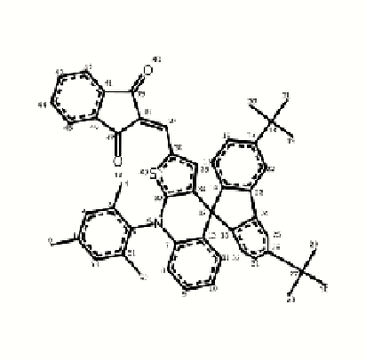 Cc1cc(C)c(N2c3ccccc3C3(c4ccc(C(C)(C)C)cc4-c4cc(C(C)(C)C)ccc43)c3cc(C=C4C(=O)c5ccccc5C4=O)sc32)c(C)c1